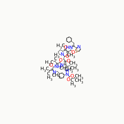 CC[C@H](C)[C@@H]([C@@H](CC(=O)N1CCCC1[C@H](OC)[C@@H](C)C(=O)N[C@@H](Cc1ccccc1)c1nccs1)OC)N(C)C(=O)[C@@H](NC(=O)[C@H](C(C)C)N(C)Cc1cccc(NC(=O)OC(C)(C)C)c1)C(C)C